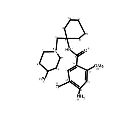 CCCC1CCN(CC2(NC(=O)c3cc(Cl)c(N)cc3OC)CCCCC2)CC1